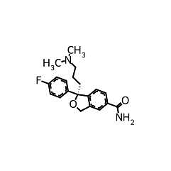 CN(C)CCC[C@@]1(c2ccc(F)cc2)OCc2cc(C(N)=O)ccc21